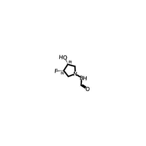 O=CBN1C[C@@H](O)[C@@H](F)C1